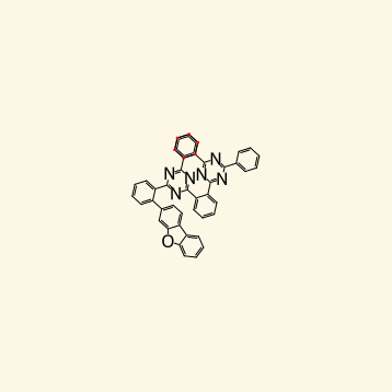 c1ccc(-c2nc(-c3ccccc3)nc(-c3ccccc3-c3nc(-c4ccccc4)nc(-c4ccccc4-c4ccc5c(c4)oc4ccccc45)n3)n2)cc1